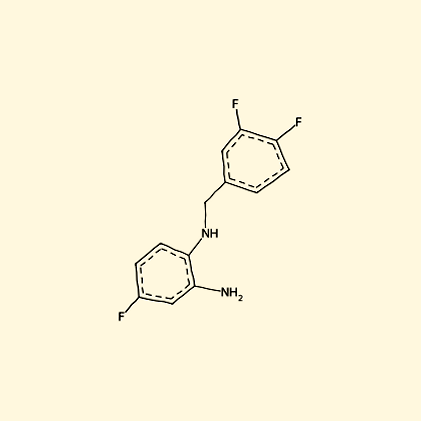 Nc1cc(F)ccc1NCc1ccc(F)c(F)c1